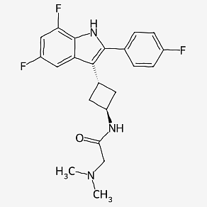 CN(C)CC(=O)N[C@H]1C[C@H](c2c(-c3ccc(F)cc3)[nH]c3c(F)cc(F)cc32)C1